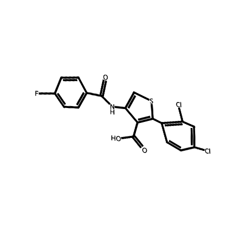 O=C(Nc1csc(-c2ccc(Cl)cc2Cl)c1C(=O)O)c1ccc(F)cc1